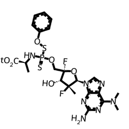 CCOC(=O)[C@H](C)NP(=S)(OC[C@@]1(F)O[C@@H](n2cnc3c(N(C)C)nc(N)nc32)[C@](C)(F)[C@@H]1O)SOc1ccccc1